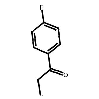 [CH2]CC(=O)c1ccc(F)cc1